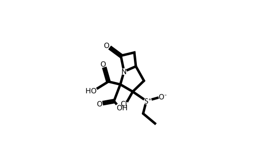 CC[S+]([O-])C1(Cl)CC2CC(=O)N2C1(C(=O)O)C(=O)O